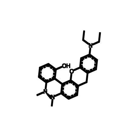 CCN(CC)c1ccc2c(c1)Oc1c(ccc(N(C)C)c1-c1c(O)cccc1N(C)C)C2